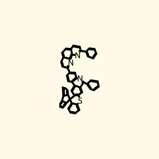 c1ccc(-c2ccc3ccc4ccc(-c5ccc6c(c5)nc(-c5ccccc5)c5cc7c(cc56)C5(c6ccccc6S7)c6ccccc6-c6ccccc65)nc4c3n2)cc1